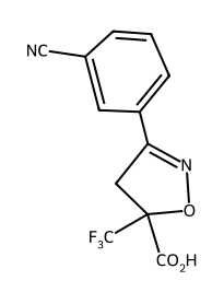 N#Cc1cccc(C2=NOC(C(=O)O)(C(F)(F)F)C2)c1